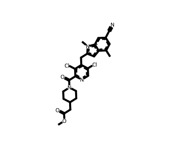 COC(=O)CC1CCN(C(=O)c2ncc(Cl)c(Cc3cc4c(C)cc(C#N)cc4n3C)c2Cl)CC1